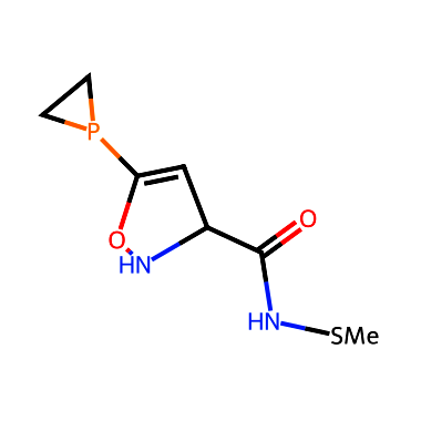 CSNC(=O)C1C=C(P2CC2)ON1